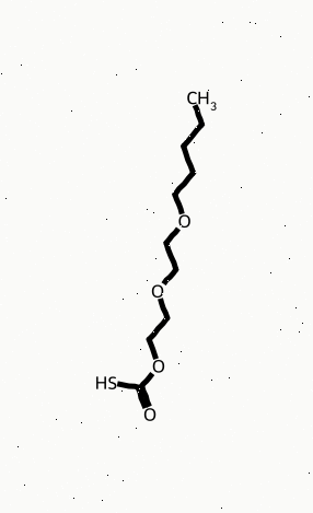 CCCCCOCCOCCOC(=O)S